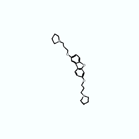 c1cc2c(cc1OCCCN1CCCC1)oc1ccc(OCCCN3CCCC3)cc12